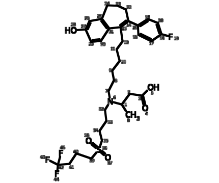 CC(CC(=O)O)N(CCCCCCC1=C(c2ccc(F)cc2)CCCc2cc(O)ccc21)CCCCS(=O)(=O)CCCC(F)(F)F